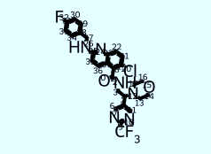 O=C(NCC(c1cnc(C(F)(F)F)nc1)N1CCOCC1)c1c(Cl)ccc2nc(NCc3ccc(F)cc3)ccc12